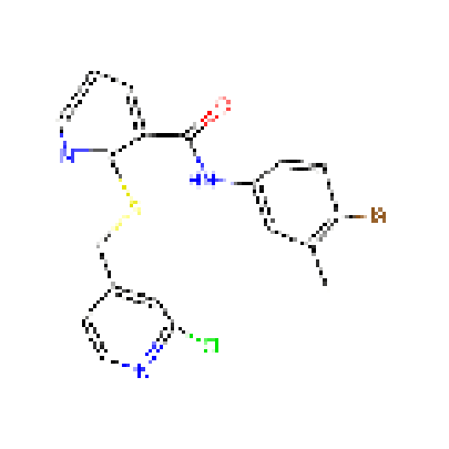 Cc1cc(NC(=O)c2cccnc2SCc2ccnc(Cl)c2)ccc1Br